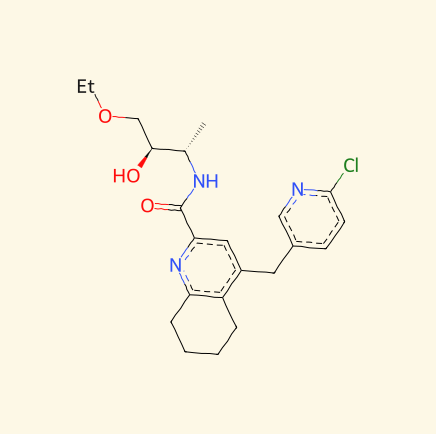 CCOC[C@H](O)[C@H](C)NC(=O)c1cc(Cc2ccc(Cl)nc2)c2c(n1)CCCC2